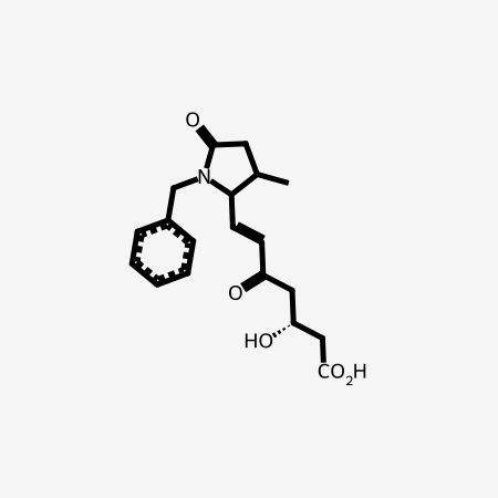 CC1CC(=O)N(Cc2ccccc2)C1/C=C/C(=O)C[C@@H](O)CC(=O)O